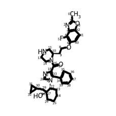 Cc1nc2c(F)c(OCC[C@@H]3CNCCN3C(=O)c3ncn([C@@H]4CCCC[C@@]4(O)CC4CC4)c3-c3ccccc3)ccc2o1